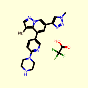 Cn1cc(-c2cc(-c3ccc(N4CCNCC4)nc3)c3c(C#N)cnn3c2)nn1.O=C(O)C(F)(F)F